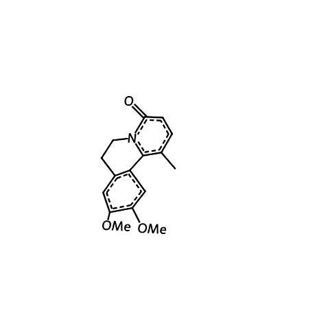 COc1cc2c(cc1OC)-c1c(C)ccc(=O)n1CC2